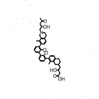 CC(=O)C[C@H](O)CN1CCc2ccc(-c3cccc(-c4cccc(-c5ccc6c(c5C)CC(C[C@@H](O)CC(=O)O)CC6)c4Cl)c3Cl)c(C)c2C1